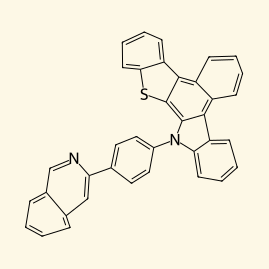 c1ccc2cc(-c3ccc(-n4c5ccccc5c5c6ccccc6c6c7ccccc7sc6c54)cc3)ncc2c1